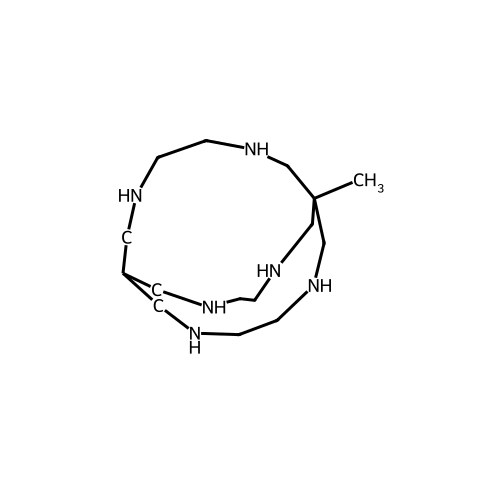 CC12CNCCNCC(CNCCNC1)CNCCNC2